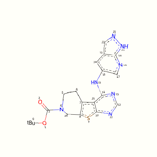 CC(C)(C)OC(=O)N1CCc2c(sc3ncnc(Nc4cnc5[nH]ncc5c4)c23)C1